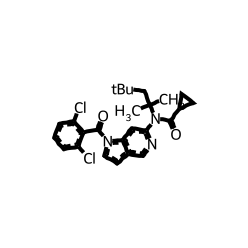 CC(C)(C)CC(C)(C)N(C(=O)C1CC1)c1cc2c(ccn2C(=O)c2c(Cl)cccc2Cl)cn1